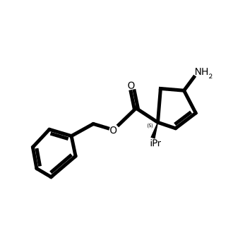 CC(C)[C@]1(C(=O)OCc2ccccc2)C=CC(N)C1